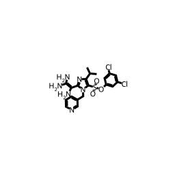 CC(C)c1nc(C(N)=C(N)N)n(Cc2cccnc2)c1S(=O)(=O)Oc1cc(Cl)cc(Cl)c1